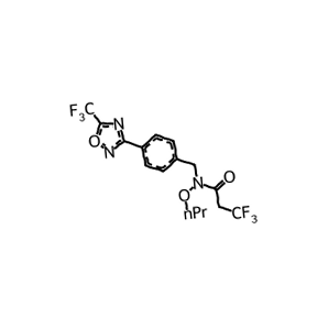 CCCON(Cc1ccc(-c2noc(C(F)(F)F)n2)cc1)C(=O)CC(F)(F)F